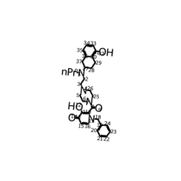 CCCN(CCN1CCN(C(=O)c2c(O)c(=O)ccn2Cc2ccccc2)CC1)C1CCc2c(O)cccc2C1